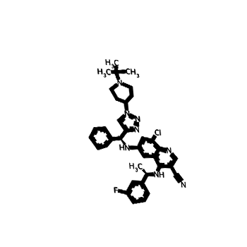 C[C@@H](Nc1c(C#N)cnc2c(Cl)cc(N[C@@H](c3ccccc3)c3cn(C4CCN(C(C)(C)C)CC4)nn3)cc12)c1cccc(F)c1